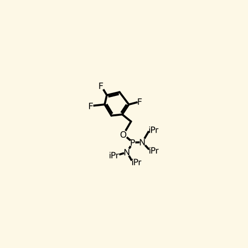 CC(C)N(C(C)C)P(OCc1cc(F)c(F)cc1F)N(C(C)C)C(C)C